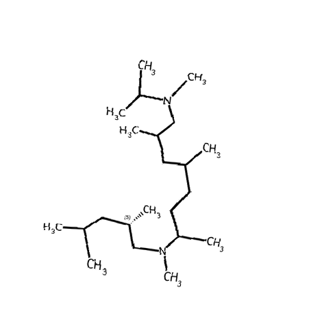 CC(C)C[C@H](C)CN(C)C(C)CCC(C)CC(C)CN(C)C(C)C